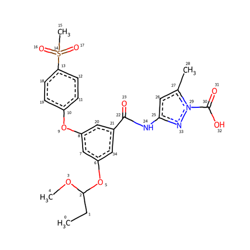 CCC(OC)Oc1cc(Oc2ccc(S(C)(=O)=O)cc2)cc(C(=O)Nc2cc(C)n(C(=O)O)n2)c1